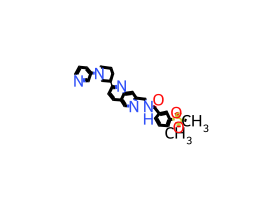 Cc1ccc(C(=O)NCc2cc3nc([C@@H]4CCCN(c5cccnc5)C4)ccc3cn2)cc1S(C)(=O)=O